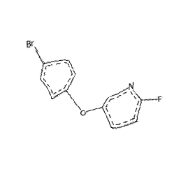 Fc1ccc(Oc2ccc(Br)cc2)cn1